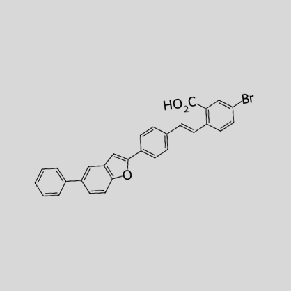 O=C(O)c1cc(Br)ccc1C=Cc1ccc(-c2cc3cc(-c4ccccc4)ccc3o2)cc1